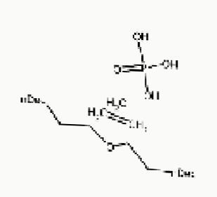 C=C.CCCCCCCCCCCCOCCCCCCCCCCCC.O.O=P(O)(O)O